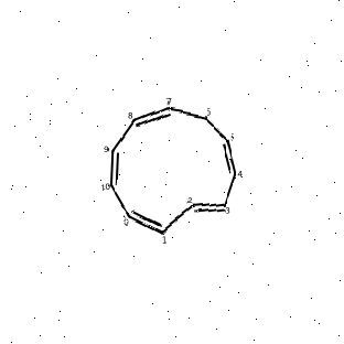 [C]1=C\C=C\C=C/C/C=C\C=C/1